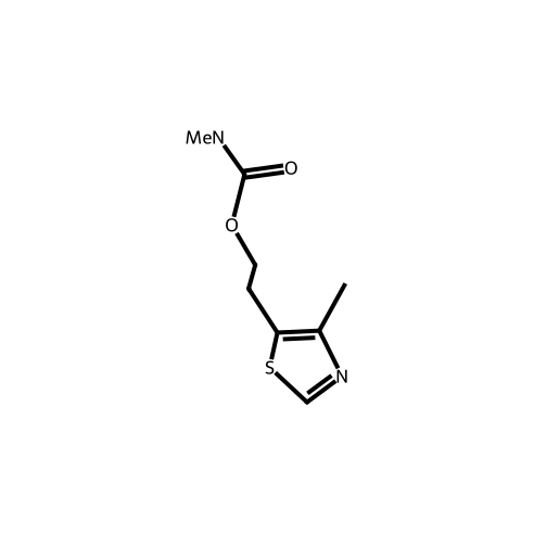 CNC(=O)OCCc1scnc1C